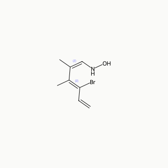 C=C/C(Br)=C(C)/C(C)=C\NO